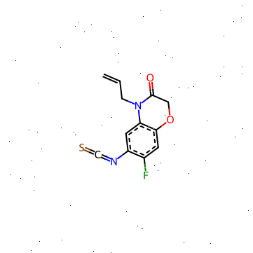 C=CCN1C(=O)COc2cc(F)c(N=C=S)cc21